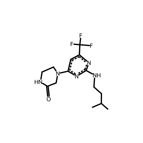 CC(C)CCNc1nc(N2CCNC(=O)C2)cc(C(F)(F)F)n1